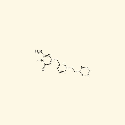 Cn1c(N)nc(Cc2cccc(CCc3ccccn3)c2)cc1=O